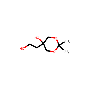 CC1(C)OCC(O)(CCO)CO1